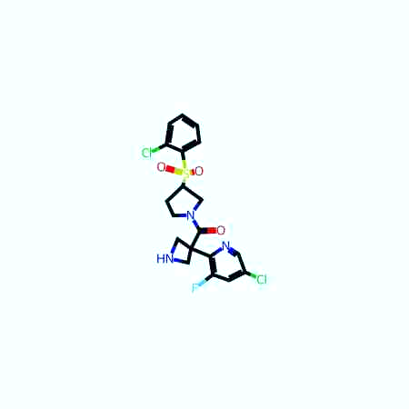 O=C(N1CCC(S(=O)(=O)c2ccccc2Cl)C1)C1(c2ncc(Cl)cc2F)CNC1